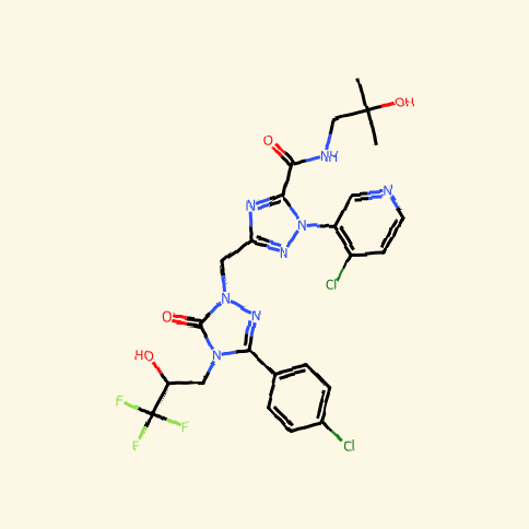 CC(C)(O)CNC(=O)c1nc(Cn2nc(-c3ccc(Cl)cc3)n(CC(O)C(F)(F)F)c2=O)nn1-c1cnccc1Cl